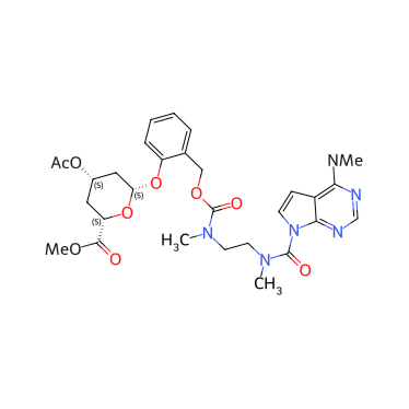 CNc1ncnc2c1ccn2C(=O)N(C)CCN(C)C(=O)OCc1ccccc1O[C@H]1C[C@@H](OC(C)=O)C[C@@H](C(=O)OC)O1